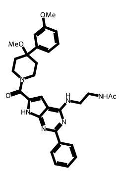 COc1cccc(C2(OC)CCN(C(=O)c3cc4c(NCCNC(C)=O)nc(-c5ccccc5)nc4[nH]3)CC2)c1